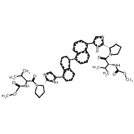 COC(=O)NC(C(=O)N1CCC[C@H]1c1ncc(-c2cccc3c(-c4cccc5c(-c6cnc([C@@H]7CCCN7C(=O)[C@@H](NC(=O)OC)C(C)C)[nH]6)cccc45)cccc23)[nH]1)C(C)C